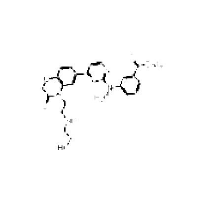 COC(=O)c1cccc(N(C)c2nccc(-c3ccc4c(c3)N(CCNCCO)C(=O)CO4)n2)c1